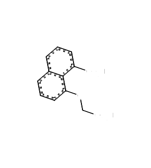 O=C(O)COc1cccc2cccc(C(=O)O)c12